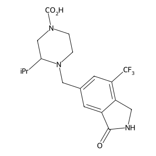 CC(C)C1CN(C(=O)O)CCN1Cc1cc2c(c(C(F)(F)F)c1)CNC2=O